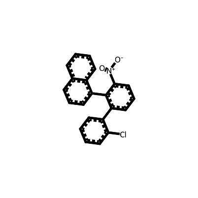 O=[N+]([O-])c1cccc(-c2ccccc2Cl)c1-c1cccc2ccccc12